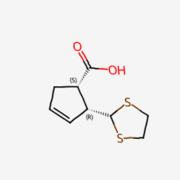 O=C(O)[C@H]1CC=C[C@H]1C1SCCS1